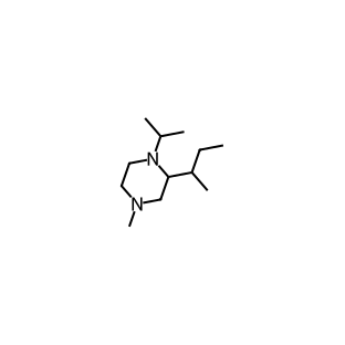 CCC(C)C1CN(C)CCN1C(C)C